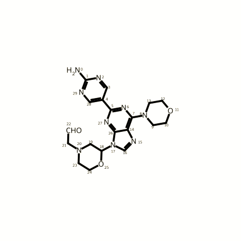 Nc1ncc(-c2nc(N3CCOCC3)c3ncn(C4CN(CC=O)CCO4)c3n2)cn1